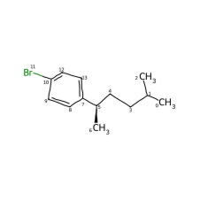 CC(C)CC[C@@H](C)c1ccc(Br)cc1